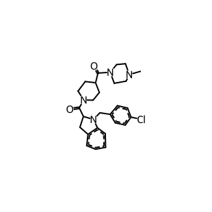 CN1CCN(C(=O)C2CCN(C(=O)C3Cc4ccccc4N3Cc3ccc(Cl)cc3)CC2)CC1